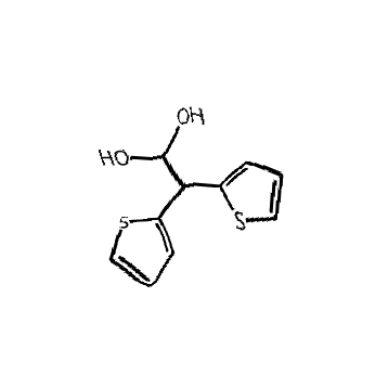 OC(O)C(c1cccs1)c1cccs1